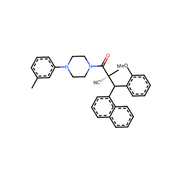 COc1ccccc1C(c1cccc2ccccc12)[C@@](C)(C#N)C(=O)N1CCN(c2cccc(C)c2)CC1